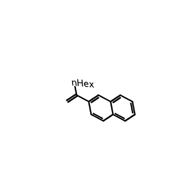 C=C(CCCCCC)c1ccc2ccccc2c1